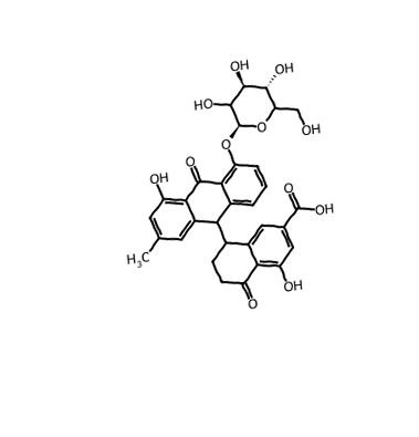 Cc1cc(O)c2c(c1)C(C1CCC(=O)c3c(O)cc(C(=O)O)cc31)c1cccc(O[C@@H]3OC(CO)[C@@H](O)[C@H](O)C3O)c1C2=O